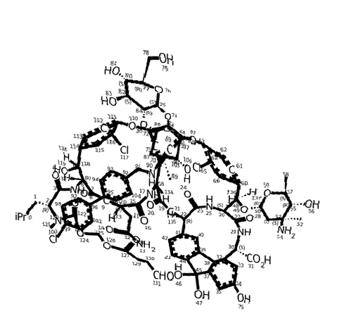 CC(C)C[C@H](C(=O)N[C@H]1C(=O)C[C@@H](CC(N)=O)C(=O)N[C@H]2C(=O)C[C@H]3C(=O)N[C@H](C(=O)N[C@H](C(=O)O)c4cc(O)cc5c4-c4cc3ccc4C5(O)O)[C@H](O[C@H]3C[C@](C)(N)[C@@H](O)[C@H](C)O3)c3ccc(c(Cl)c3)Oc3cc2cc(c3O[C@@H]2O[C@H](CO)[C@@H](O)[C@H](O)[C@H]2O[C@H]2C[C@](C)(NCc3ccc(-c4ccc(Cl)cc4)cc3)[C@@H](O)[C@H](C)O2)Oc2ccc(cc2Cl)[C@H]1O)N(C)C(=O)OCOC(=O)CCC=O